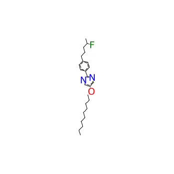 CCCCCCCCCCOc1cnc(-c2ccc(CCCC(C)F)cc2)nc1